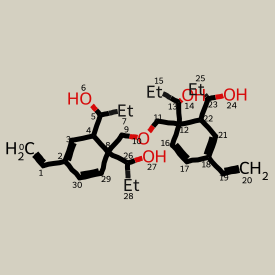 C=CC1=CC(C(O)CC)C(COCC2(C(O)CC)C=CC(C=C)=CC2C(O)CC)(C(O)CC)C=C1